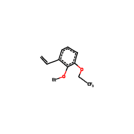 C=Cc1cccc(OCC(F)(F)F)c1OCC